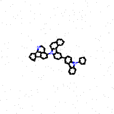 c1ccc(-n2c3ccccc3c3cc(-c4ccc5c(c4)c4c6ccccc6ccc4n5-c4ccc5c6c(nccc46)-c4ccccc4-5)ccc32)cc1